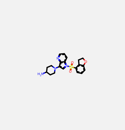 NC1CCN(c2cn(S(=O)(=O)c3cccc4c3CCO4)c3cccnc23)CC1